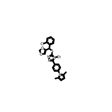 CCn1c(SC(C2=COCO2)c2ccccc2Cl)nnc1-c1ccc(-n2c(C)ccc2C)cc1